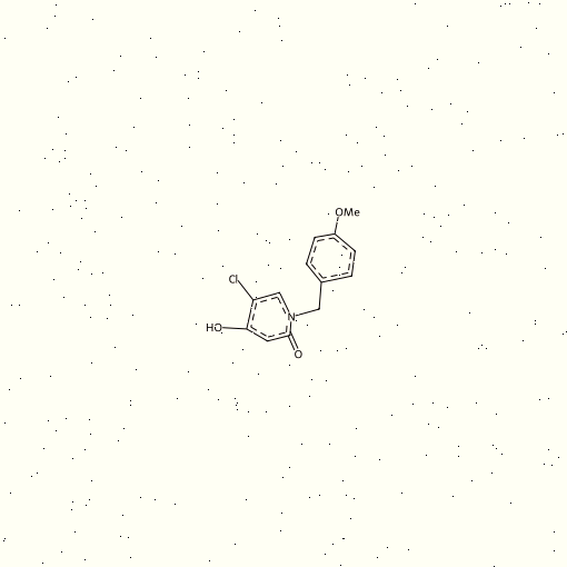 COc1ccc(Cn2cc(Cl)c(O)cc2=O)cc1